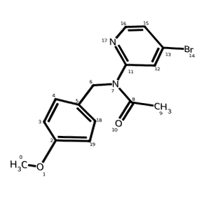 COc1ccc(CN(C(C)=O)c2cc(Br)ccn2)cc1